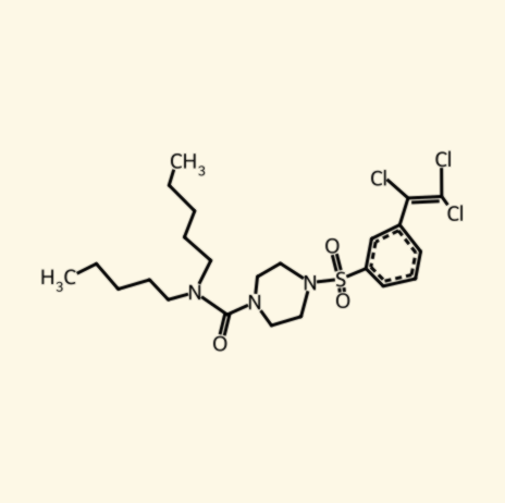 CCCCCN(CCCCC)C(=O)N1CCN(S(=O)(=O)c2cccc(C(Cl)=C(Cl)Cl)c2)CC1